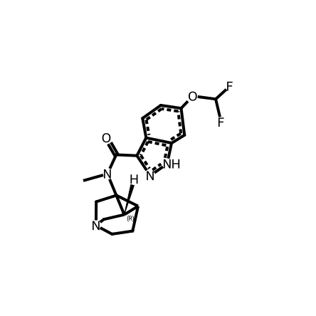 CN(C(=O)c1n[nH]c2cc(OC(F)F)ccc12)[C@H]1CN2CCC1CC2